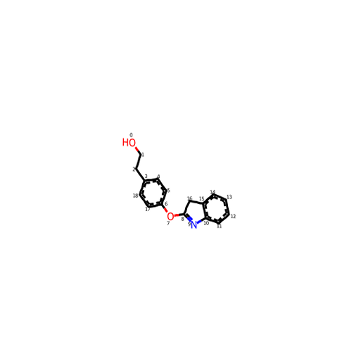 OCCc1ccc(OC2=Nc3ccccc3C2)cc1